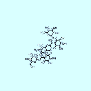 CO[C@H]1OC(CO)[C@H](O[C@H]2OC(CO[C@@H]3OC(C)[C@H](O)C(O)[C@@H]3O)[C@@H](O)[C@H](O)C2O)[C@H](O[C@@H]2OC(CO[C@H]3OC(CO)[C@@H](O)[C@H](O)C3O)[C@@H](O)[C@H](O)C2O)C1NC(C)C(N)=O